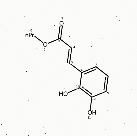 CCCOC(=O)C=Cc1cccc(O)c1O